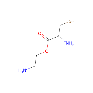 NCCOC(=O)[C@@H](N)CS